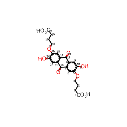 O=C(O)CCCOc1cc2c(cc1O)C(=O)c1cc(OCCCC(=O)O)c(O)cc1C2=O